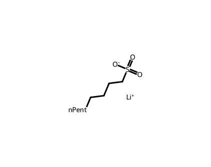 CCCCCCCCCS(=O)(=O)[O-].[Li+]